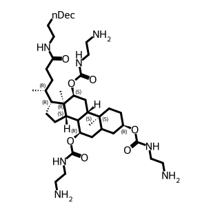 CCCCCCCCCCCCNC(=O)CC[C@@H](C)[C@H]1CC[C@H]2C3[C@H](OC(=O)NCCN)CC4C[C@H](OC(=O)NCCN)CC[C@]4(C)[C@H]3C[C@H](OC(=O)NCCN)[C@]12C